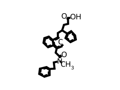 CN(CCc1ccccc1)C(=O)Cc1ccc(CC(CCC(=O)O)c2ccccc2)c2ccccc12